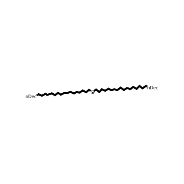 CCCCCCCCCCCCCCCCCCCCCCCCCCC[Si]CCCCCCCCCCCCCCCCCCCCCCCCCCC